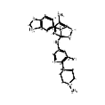 CC1=C2NOC(Nc3cnc(N4CCN(C)CC4)c(Cl)c3)(N=C1)N2c1ccc2c(c1)NCO2